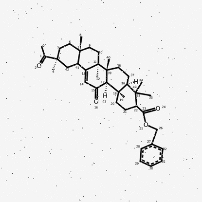 CC(=O)[C@@]1(C)CC[C@]2(C)CC[C@]3(C)C(=CC(=O)[C@@H]4[C@@]5(C)CCC(C(=O)OCc6ccccc6)C(C)(C)[C@@H]5CC[C@]43C)C2C1